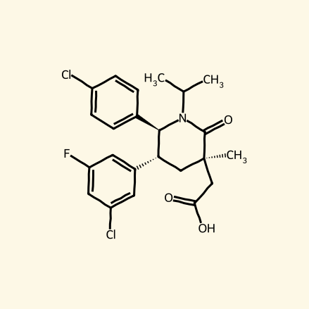 CC(C)N1C(=O)[C@@](C)(CC(=O)O)C[C@H](c2cc(F)cc(Cl)c2)[C@H]1c1ccc(Cl)cc1